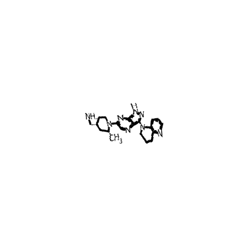 C[C@@H]1C[C@H](CN)CCN1c1cnc2c(N3CCCc4ncccc43)n[nH]c2n1